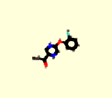 COC(=O)c1cnc(Oc2ccccc2F)cn1